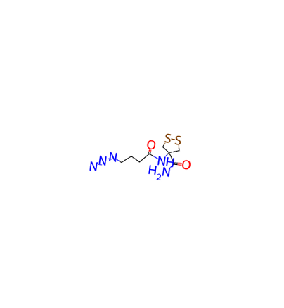 [N-]=[N+]=NCCCC(=O)NC1(C(N)=O)CSSC1